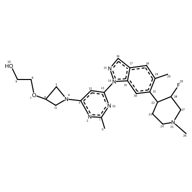 Cc1nc(N2CC(OCCO)C2)cc(-n2ncc3cc(C)c(C4CCN(C)CC4F)cc32)n1